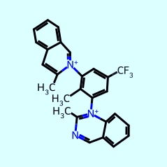 Cc1c(-[n+]2cc3ccccc3cc2C)cc(C(F)(F)F)cc1-[n+]1c(C)ncc2ccccc21